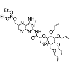 C=CCOC[C@H]1O[C@@H](O[C@@H](CC(C)C)C(=O)Nc2nc(N)c3nc(COP(OCC)OCC)cnc3n2)[C@H](OCC=C)[C@@H](OCC=C)[C@@H]1OCC=C